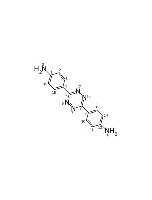 Nc1ccc(-c2nnc(-c3ccc(N)cc3)nn2)cc1